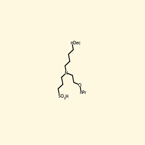 CCCCCCCCCCCCCCN(CCCS(=O)(=O)O)CCOCCC